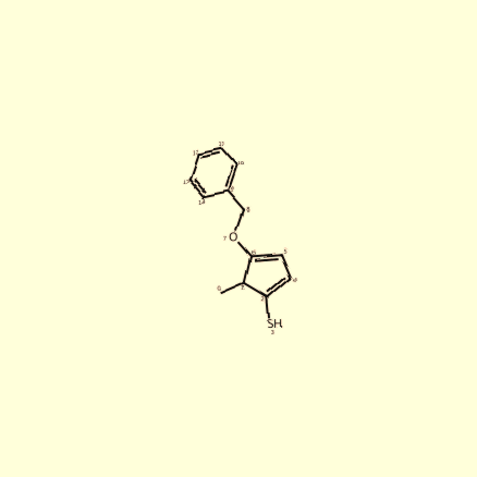 CC1C(S)=CC=C1OCc1ccccc1